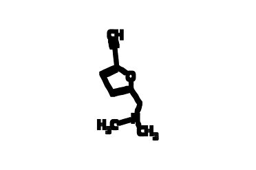 C#Cc1ccc(CN(C)C)o1